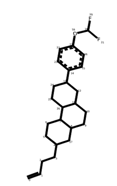 C=CCCC1CCC2C(CCC3CC(c4ccc(OC(F)F)cc4)CCC32)C1